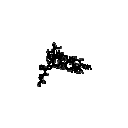 C=C(C)[C@@H]1CC[C@]2(COC(=O)COCC)CC[C@]3(C)[C@H](CC[C@@H]4[C@@]5(C)CC[C@H](O)C(C)(C)[C@@H]5CC[C@]43C)[C@@H]12